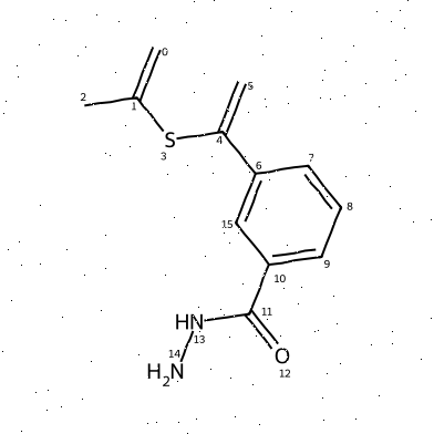 C=C(C)SC(=C)c1cccc(C(=O)NN)c1